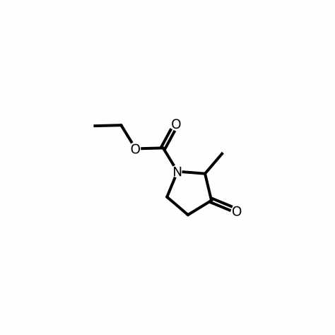 CCOC(=O)N1CCC(=O)C1C